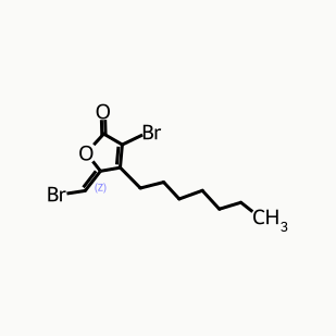 CCCCCCCC1=C(Br)C(=O)O/C1=C\Br